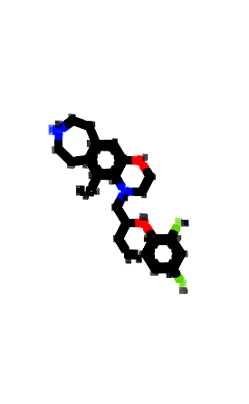 CCC(CN1CCOc2cc3c(c(C)c21)CCNCC3)Oc1ccc(F)cc1F